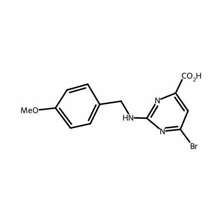 COc1ccc(CNc2nc(Br)cc(C(=O)O)n2)cc1